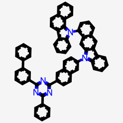 c1ccc(-c2cccc(-c3nc(-c4ccccc4)nc(-c4ccc5cc(-n6c7ccccc7c7cc8cccc(-n9c%10ccccc%10c%10ccc%11ccccc%11c%109)c8cc76)ccc5c4)n3)c2)cc1